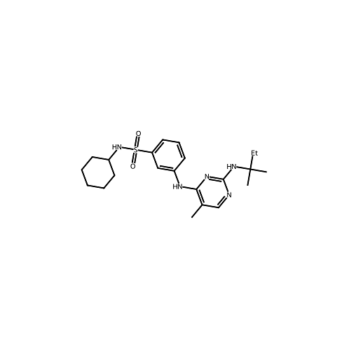 CCC(C)(C)Nc1ncc(C)c(Nc2cccc(S(=O)(=O)NC3CCCCC3)c2)n1